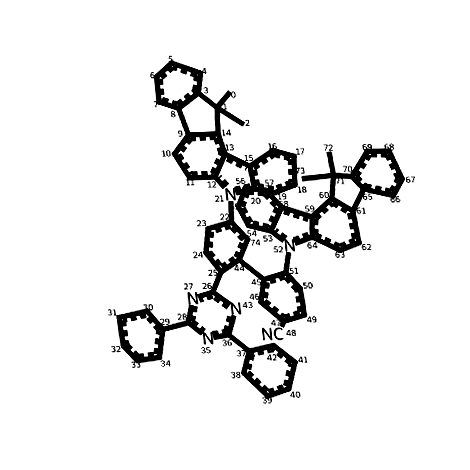 CC1(C)c2ccccc2-c2ccc3c(c21)c1ccccc1n3-c1ccc(-c2nc(-c3ccccc3)nc(-c3ccccc3)n2)c(-c2cc(C#N)ccc2-n2c3ccccc3c3c4c(ccc32)-c2ccccc2C4(C)C)c1